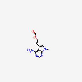 Cn1cc(/C=C/OC=O)c2c(N)ncnc21